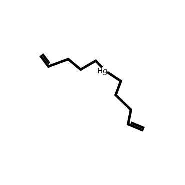 C=CCC[CH2][Hg][CH2]CCC=C